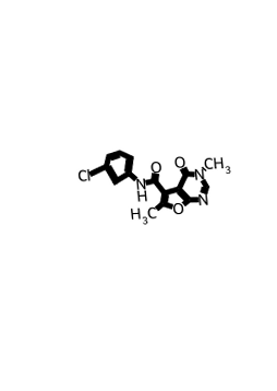 Cc1oc2ncn(C)c(=O)c2c1C(=O)Nc1cccc(Cl)c1